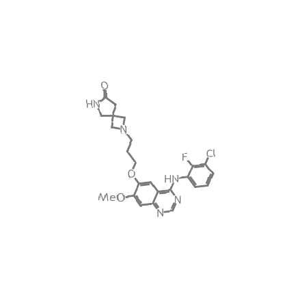 COc1cc2ncnc(Nc3cccc(Cl)c3F)c2cc1OCCCN1CC2(CNC(=O)C2)C1